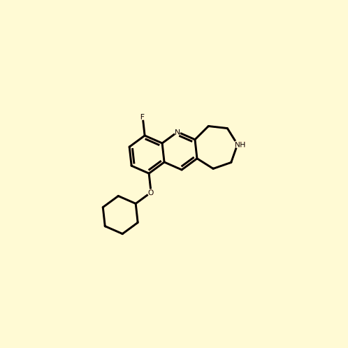 Fc1ccc(OC2CCCCC2)c2cc3c(nc12)CCNCC3